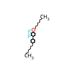 CCCCCCCCOc1ccc(-c2ccc(CCCCCCC)cc2)c(F)c1F